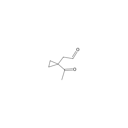 CC(=O)C1(CC=O)CC1